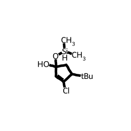 C[SiH](C)OC1(O)C=C(Cl)C(C(C)(C)C)C1